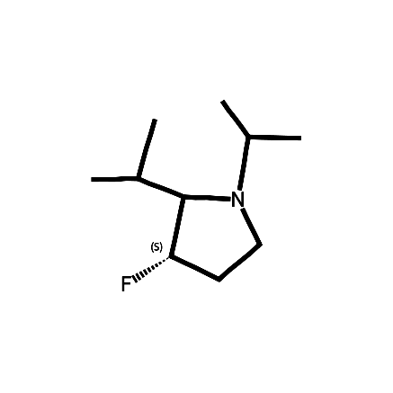 CC(C)C1[C@@H](F)CCN1C(C)C